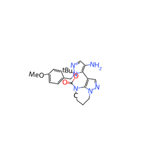 COc1ccc(Cn2ncc(N)c2-c2cnn3c2N(C(=O)OC(C)(C)C)CCCC3)cc1